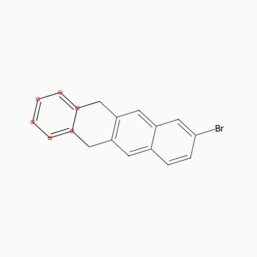 Brc1ccc2cc3c(cc2c1)C1c2ccccc2C3c2ccccc21